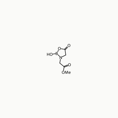 COC(=O)CN1CC(=O)OB1O